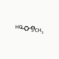 Cc1ccc(-c2ccc(CO)cc2)s1